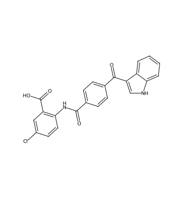 O=C(Nc1ccc(Cl)cc1C(=O)O)c1ccc(C(=O)c2c[nH]c3ccccc23)cc1